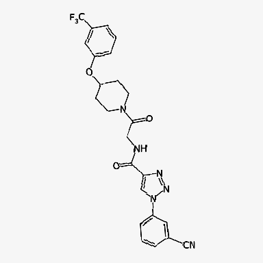 N#Cc1cccc(-n2cc(C(=O)NCC(=O)N3CCC(Oc4cccc(C(F)(F)F)c4)CC3)nn2)c1